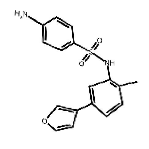 Cc1ccc(-c2ccoc2)cc1NS(=O)(=O)c1ccc(N)cc1